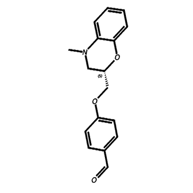 CN1C[C@@H](COc2ccc(C=O)cc2)Oc2ccccc21